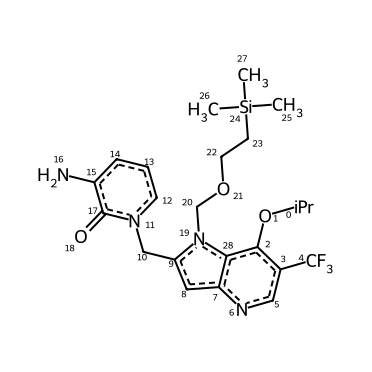 CC(C)Oc1c(C(F)(F)F)cnc2cc(Cn3cccc(N)c3=O)n(COCC[Si](C)(C)C)c12